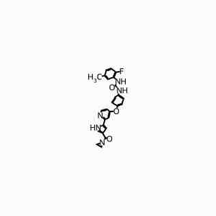 Cc1ccc(F)c(NC(=O)Nc2ccc(Oc3ccnc(-c4cc(C(=O)N5CC5)c[nH]4)c3)cc2)c1